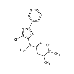 CC(CC(=O)N(C)c1sc(-c2cccnc2)nc1Cl)[S+](C)[O-]